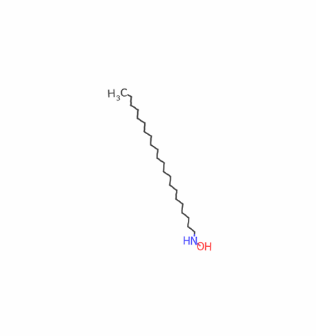 CCCCCCCCCCCCCCCCCCCCCCNO